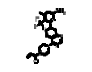 C=CC(=O)N1CCN(c2ncnc3c2CCC(c2nc(N)cc(C)c2C(F)(F)F)C3)CC1